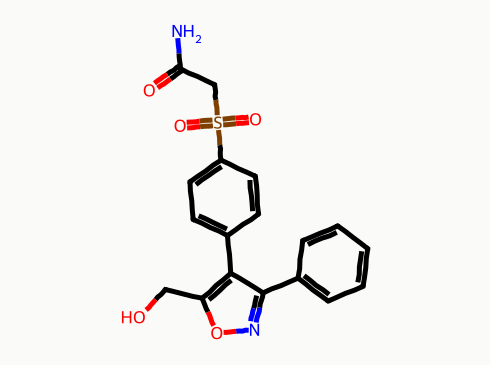 NC(=O)CS(=O)(=O)c1ccc(-c2c(-c3ccccc3)noc2CO)cc1